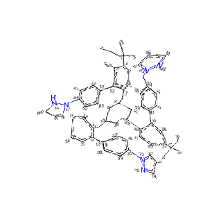 CC(C)(C)c1ccc(C2CC(c3ccccc3-c3ccc(-n4cccn4)cc3)CC(c3ccc(C(C)(C)C)cc3-c3ccc(-n4cccn4)cc3)C2)c(-c2ccc(N3C=CCN3)cc2)c1